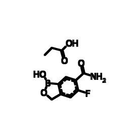 CCC(=O)O.NC(=O)c1cc2c(cc1F)COB2O